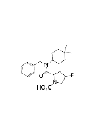 CC1(C)CCC(N(Cc2ccccc2)C(=O)C2CC(F)CN2C(=O)O)CC1